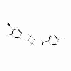 CC1(C)[C@H](NC(=O)c2ccc(O)cc2)C(C)(C)[C@H]1Oc1ccc(C#N)c(Cl)c1